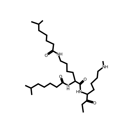 CCC(=O)C(CCCCNC)NC(=O)C(CCCCNC(=O)CCCCC(C)C)NC(=O)CCCCC(C)C